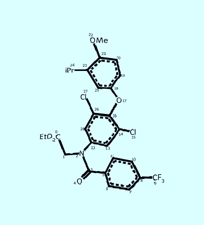 CCOC(=O)CN(C(=O)c1ccc(C(F)(F)F)cc1)c1cc(Cl)c(Oc2ccc(OC)c(C(C)C)c2)c(Cl)c1